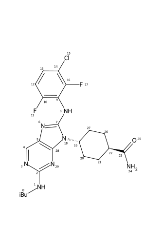 CCC(C)Nc1ncc2nc(Nc3c(F)ccc(Cl)c3F)n([C@H]3CC[C@H](C(N)=O)CC3)c2n1